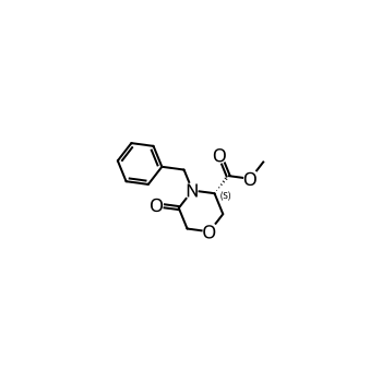 COC(=O)[C@@H]1COCC(=O)N1Cc1ccccc1